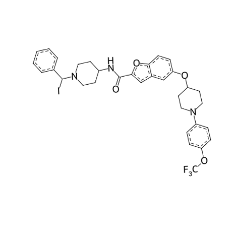 O=C(NC1CCN(C(I)c2ccccc2)CC1)c1cc2cc(OC3CCN(c4ccc(OC(F)(F)F)cc4)CC3)ccc2o1